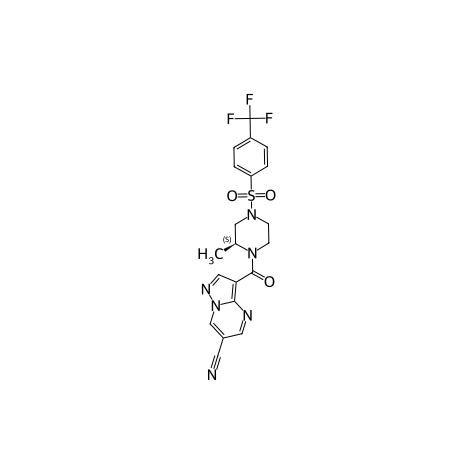 C[C@H]1CN(S(=O)(=O)c2ccc(C(F)(F)F)cc2)CCN1C(=O)c1cnn2cc(C#N)cnc12